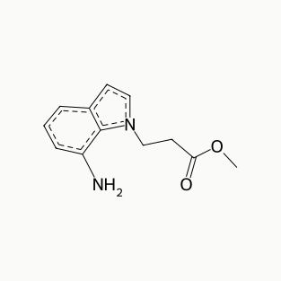 COC(=O)CCn1ccc2cccc(N)c21